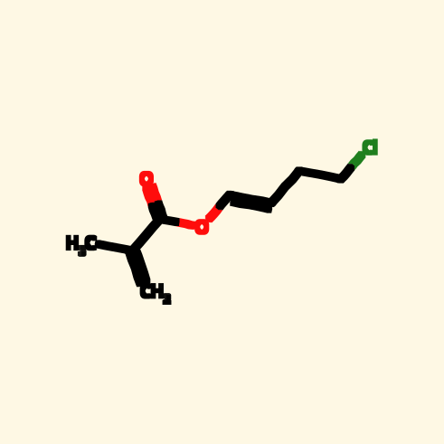 C=C(C)C(=O)O/C=C/CCCl